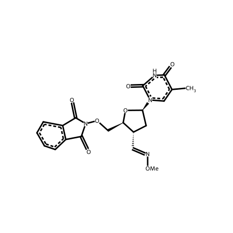 CON=C[C@H]1C[C@H](n2cc(C)c(=O)[nH]c2=O)O[C@@H]1CON1C(=O)c2ccccc2C1=O